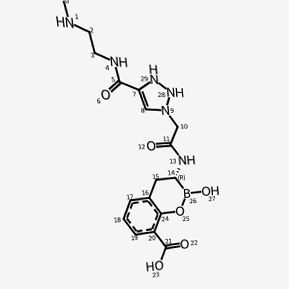 CNCCNC(=O)C1=CN(CC(=O)N[C@H]2Cc3cccc(C(=O)O)c3OB2O)NN1